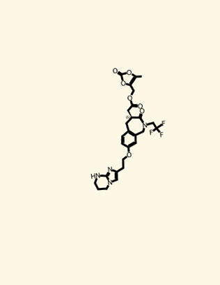 Cc1oc(=O)oc1COC(=O)C[C@@H]1Cc2ccc(OCCc3cn4c(n3)NCCC4)cc2CN(CC(F)(F)F)C1=O